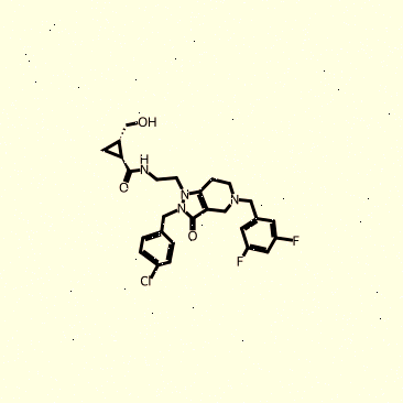 O=C(NCCn1c2c(c(=O)n1Cc1ccc(Cl)cc1)CN(Cc1cc(F)cc(F)c1)CC2)[C@H]1C[C@@H]1CO